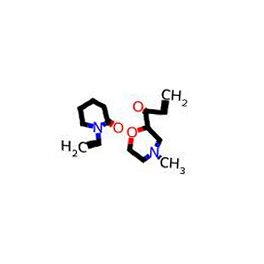 C=CC(=O)C1CN(C)CCO1.C=CN1CCCCC1=O